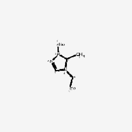 CCCCCCN1N=CN(CC(C)(C)C)C1C